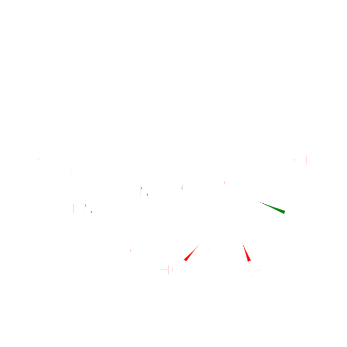 C#CC1=CN([C@@H]2O[C@](F)(CO)[C@@H](O)[C@H]2O)C(O)NC1=S